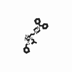 C=C(C)Cn1c(CCN2CCN(C(c3ccccc3)c3ccccc3)CC2)nnc1SCc1ccccc1